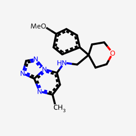 COc1ccc(C2(CNc3cc(C)nc4ncnn34)CCOCC2)cc1